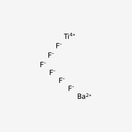 [Ba+2].[F-].[F-].[F-].[F-].[F-].[F-].[Ti+4]